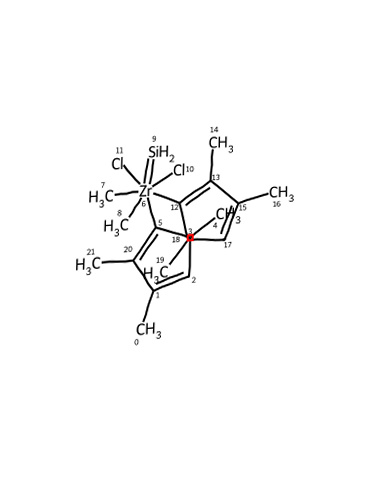 CC1=CC(C)[C]([Zr]([CH3])([CH3])(=[SiH2])([Cl])([Cl])[C]2=C(C)C(C)=CC2C)=C1C